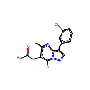 COC(=O)Cc1c(C)nc2c(-c3cccc(Cl)c3)cnn2c1Cl